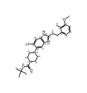 COc1ccnc(CSc2nc3cc(N4CCN(C(=O)OC(C)(C)C)CC4)c(F)cc3[nH]2)c1C